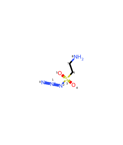 [N-]=[N+]=NS(=O)(=O)CCN